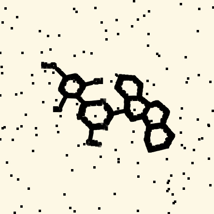 COc1cc(O)c(-c2nc(OC)nc(-c3cc4c5ccccc5ccc4c4ccccc34)n2)c(O)c1